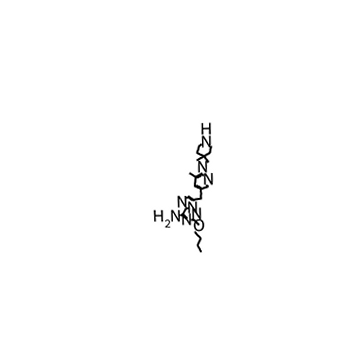 CCCCOc1nc(N)c2ncc(Cc3cnc(N4CC5(CCNCC5)C4)c(C)c3)n2n1